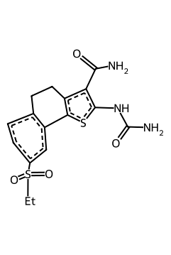 CCS(=O)(=O)c1ccc2c(c1)-c1sc(NC(N)=O)c(C(N)=O)c1CC2